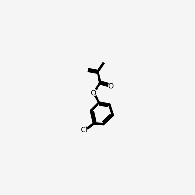 C=C(C)C(=O)Oc1cccc(Cl)c1